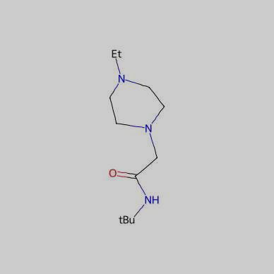 CCN1CCN(CC(=O)NC(C)(C)C)CC1